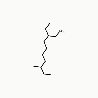 CCC(C)CCCCC(CC)CN